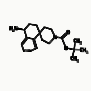 CC(C)(C)OC(=O)N1CCC2(CC[C@H](N)c3ccccc32)CC1